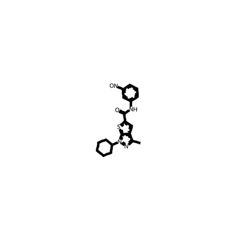 Cc1nn(C2CCCCC2)c2sc(C(=O)Nc3cccc(N=O)c3)cc12